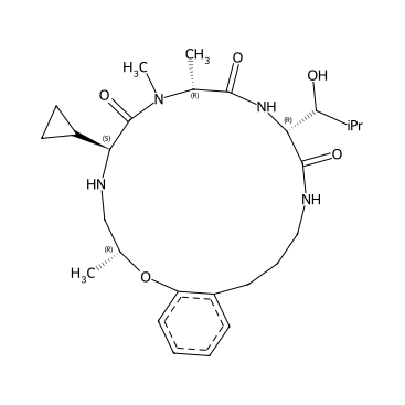 CC(C)C(O)[C@H]1NC(=O)[C@@H](C)N(C)C(=O)[C@H](C2CC2)NC[C@@H](C)Oc2ccccc2CCCNC1=O